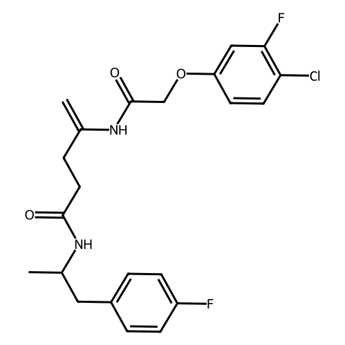 C=C(CCC(=O)NC(C)Cc1ccc(F)cc1)NC(=O)COc1ccc(Cl)c(F)c1